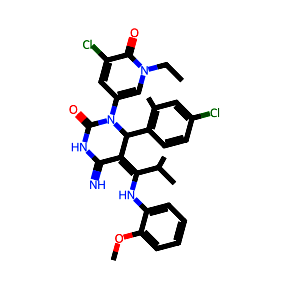 CCn1cc(N2C(=O)NC(=N)/C(=C(\Nc3ccccc3OC)C(C)C)C2c2ccc(Cl)cc2C)cc(Cl)c1=O